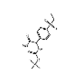 CCS(=O)(=O)c1ccc(C(NC(=O)OC(C)(C)C)C(=O)O)cc1